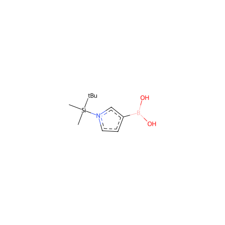 CC(C)(C)[Si](C)(C)n1ccc(B(O)O)c1